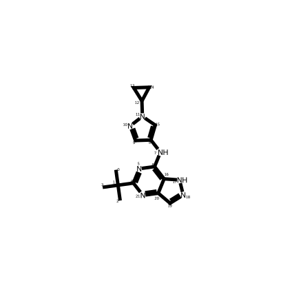 CC(C)(C)c1nc(Nc2cnn(C3CC3)c2)c2[nH]ncc2n1